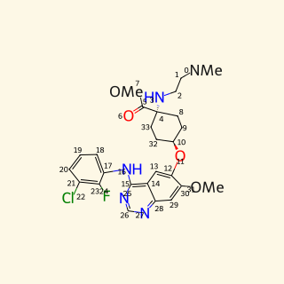 CNCCN[C@]1(C(=O)OC)CC[C@@H](Oc2cc3c(Nc4cccc(Cl)c4F)ncnc3cc2OC)CC1